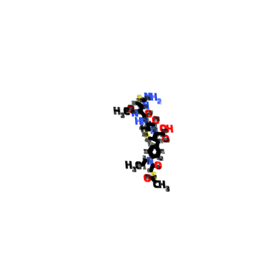 CCCN(C(=O)CSC(C)=O)c1ccc(CC2=C(C(=O)O)N3C(=O)[C@@H](NC(=O)C(=NOC)c4csc(N)n4)[C@H]3SC2)cc1